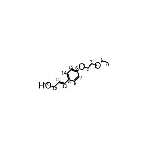 CCOCCOc1ccc(C=CCO)cc1